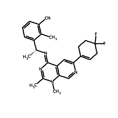 Cc1c(C#N)cccc1[C@@H](C)/N=c1\nc(C)n(C)c2cnc(C3=CCC(F)(F)CC3)cc12